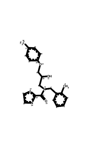 Cc1ccccc1CN(CC(O)COc1ccc(C(F)(F)F)cc1)C(=O)c1nccs1